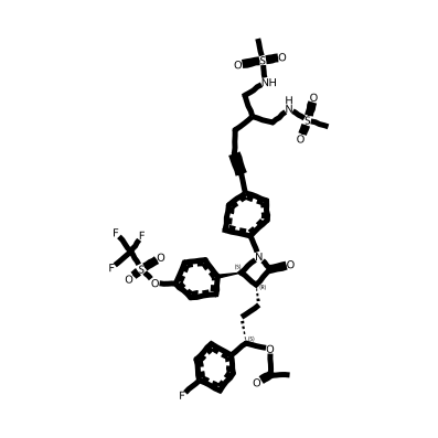 CC(=O)O[C@@H](CC[C@H]1C(=O)N(c2ccc(C#CCC(CNS(C)(=O)=O)CNS(C)(=O)=O)cc2)[C@@H]1c1ccc(OS(=O)(=O)C(F)(F)F)cc1)c1ccc(F)cc1